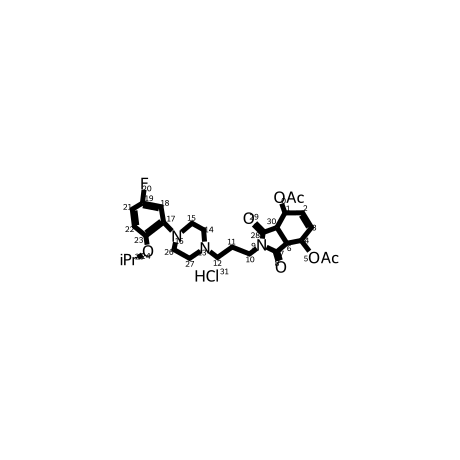 CC(=O)OC1C=CC(OC(C)=O)C2C(=O)N(CCCN3CCN(c4cc(F)ccc4OC(C)C)CC3)C(=O)C12.Cl